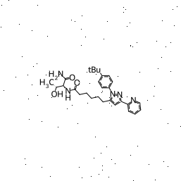 C[C@@H](O)[C@H](NC(=O)CCCCCc1cc(-c2ccccn2)nn1-c1ccc(C(C)(C)C)cc1)C(N)=O